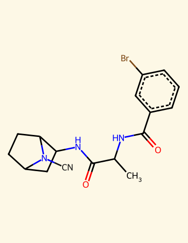 CC(NC(=O)c1cccc(Br)c1)C(=O)NC1CC2CCC1N2C#N